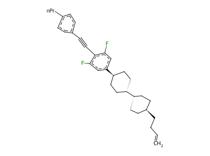 C=CCC[C@H]1CC[C@H]([C@H]2CC[C@H](c3cc(F)c(C#Cc4ccc(CCC)cc4)c(F)c3)CC2)CC1